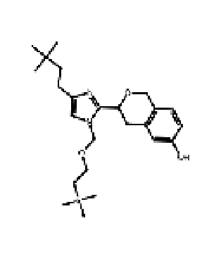 CC(C)(C)CCc1cn(COCC[Si](C)(C)C)c(C2Cc3cc(O)ccc3CO2)n1